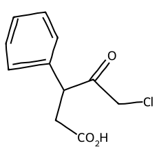 O=C(O)CC(C(=O)CCl)c1ccccc1